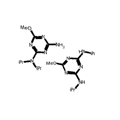 COc1nc(N)nc(N(C(C)C)C(C)C)n1.COc1nc(NC(C)C)nc(NC(C)C)n1